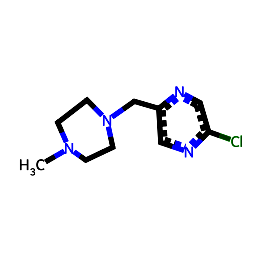 CN1CCN(Cc2cnc(Cl)cn2)CC1